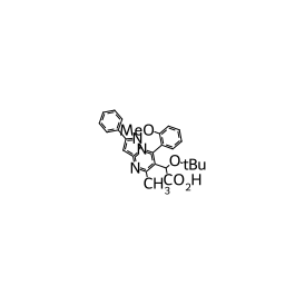 COc1ccccc1-c1c(C(OC(C)(C)C)C(=O)O)c(C)nc2cc(-c3ccccc3)nn12